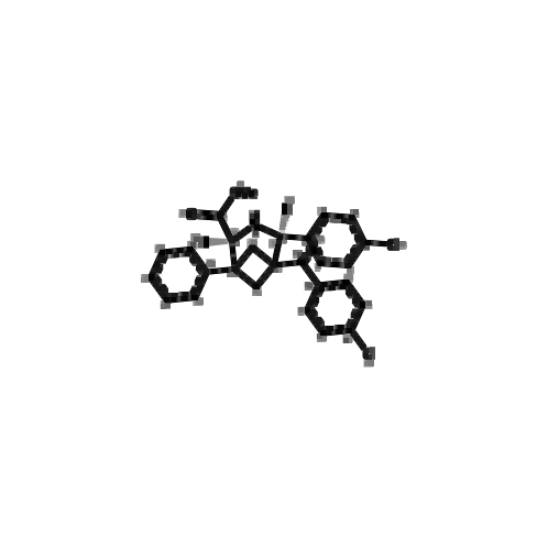 COC(=O)[C@H]1N[C@@H](c2ccc(Cl)cc2)C2(C(=O)c3ccc(Cl)cc3)CC1(c1ccccc1)C2